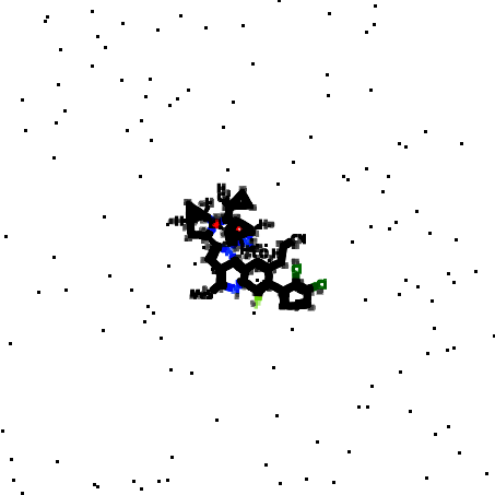 CSc1nc2c(F)c(-c3cccc(Cl)c3Cl)c(CCC#N)cc2c2c1cc([C@H]1C[C@H]3C[C@H]3N1C(=O)C1(C)CC1)n2[C@H]1[C@@H]2C[C@H]1N(C(=O)O)C2